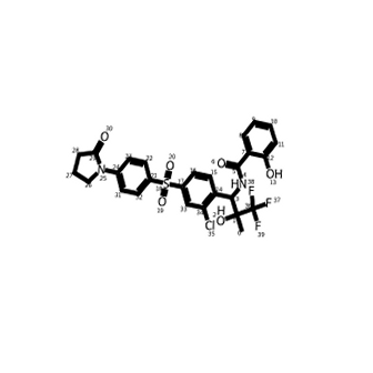 CC(O)(C(NC(=O)c1ccccc1O)c1ccc(S(=O)(=O)c2ccc(N3CCCC3=O)cc2)cc1Cl)C(F)(F)F